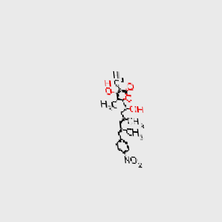 CC(=C\c1ccc([N+](=O)[O-])cc1)/C=C(\C)CC(O)c1oc(=O)c(C)c(O)c1C